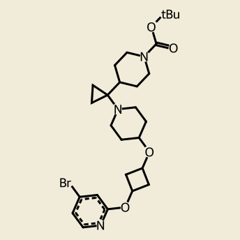 CC(C)(C)OC(=O)N1CCC(C2(N3CCC(OC4CC(Oc5cc(Br)ccn5)C4)CC3)CC2)CC1